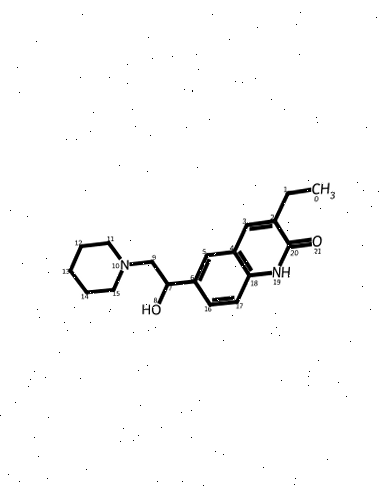 CCc1cc2cc(C(O)CN3CCCCC3)ccc2[nH]c1=O